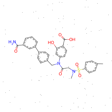 Cc1ccc(S(=O)(=O)N(C)CC(=O)N(Cc2ccc(-c3cccc(C(N)=O)c3)cc2)c2ccc(C(=O)O)c(O)c2)cc1